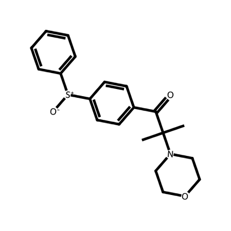 CC(C)(C(=O)c1ccc([S+]([O-])c2ccccc2)cc1)N1CCOCC1